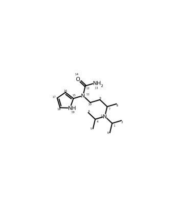 CC(C)N(C(C)C)C(C)CCN(C(N)=O)c1ccc[nH]1